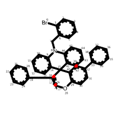 Brc1ccccc1CN1c2ccccc2C2(c3cc(-c4ccccc4)ccc3Oc3ccc(-c4ccccc4)cc32)c2ccccc21